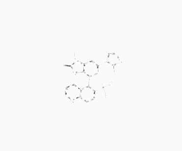 Cc1noc(C)c1-c1cc(-c2c(C(F)(F)F)ccc3ncccc23)c2c(c1)[nH]c(=O)n2C